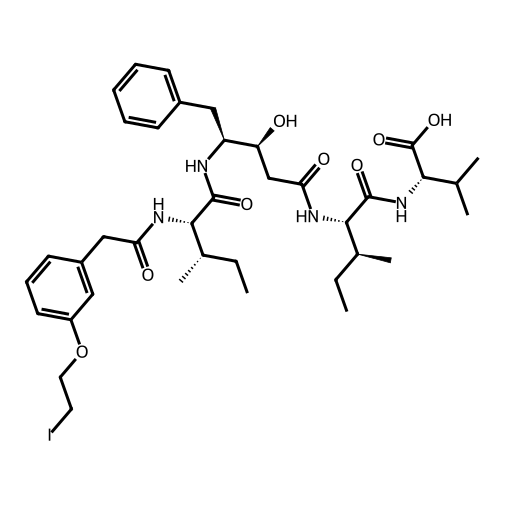 CC[C@H](C)[C@H](NC(=O)C[C@H](O)[C@H](Cc1ccccc1)NC(=O)[C@@H](NC(=O)Cc1cccc(OCCI)c1)[C@@H](C)CC)C(=O)N[C@H](C(=O)O)C(C)C